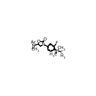 CC(=O)N(C)C1CN(c2cc[c]([Sn]([CH3])([CH3])[CH3])c(F)c2)C(=O)O1